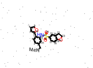 CNCc1ccc(-c2ccco2)c(NS(=O)(=O)c2ccc3c(c2)CCO3)c1